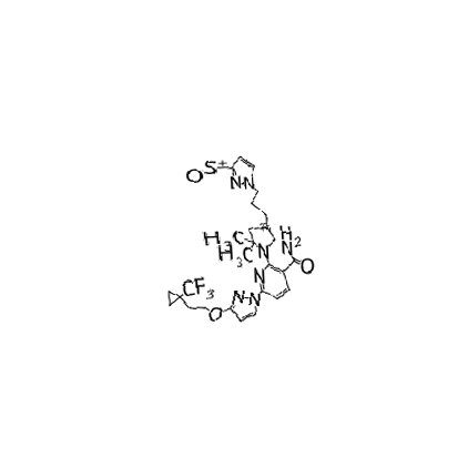 CC1(C)C[C@@H](CCCn2ccc([S+]=O)n2)CN1c1nc(-n2ccc(OCCC3(C(F)(F)F)CC3)n2)ccc1C(N)=O